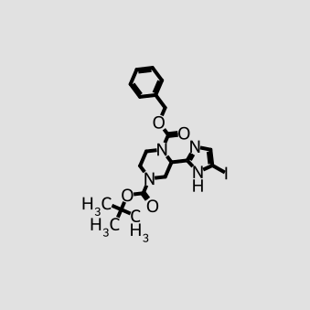 CC(C)(C)OC(=O)N1CCN(C(=O)OCc2ccccc2)C(c2ncc(I)[nH]2)C1